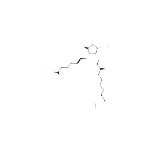 CCCCCCCC(=O)CC[C@H]1[C@H](O)CC(=O)[C@@H]1CC=CCCCC(=O)O